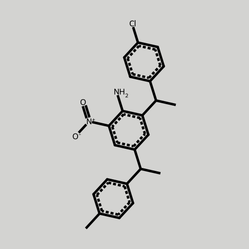 Cc1ccc(C(C)c2cc(C(C)c3ccc(Cl)cc3)c(N)c([N+](=O)[O-])c2)cc1